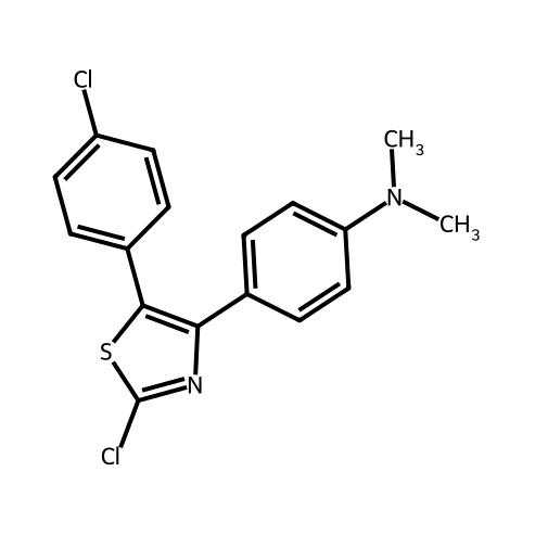 CN(C)c1ccc(-c2nc(Cl)sc2-c2ccc(Cl)cc2)cc1